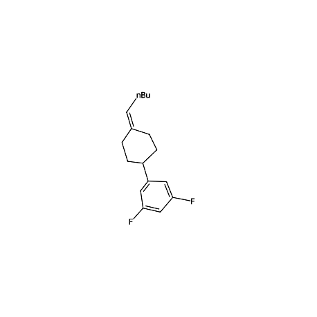 CCCCC=C1CCC(c2cc(F)cc(F)c2)CC1